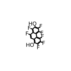 Oc1c(F)c(F)c2c(c(F)cc3c(O)c(F)c(F)c(F)c32)c1F